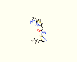 O=C(O)Nc1nc(CC(=O)Nc2ncc([N+](=O)[O-])s2)cs1